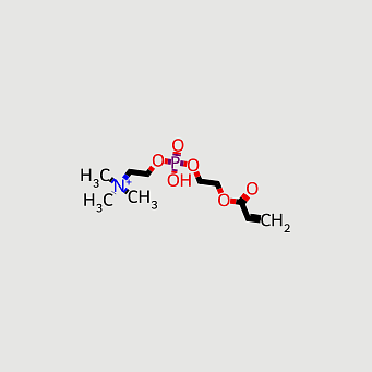 C=CC(=O)OCCOP(=O)(O)OCC[N+](C)(C)C